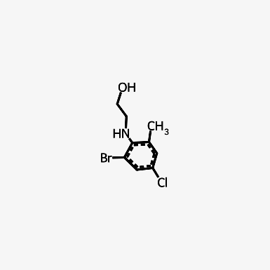 Cc1cc(Cl)cc(Br)c1NCCO